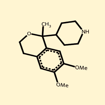 COc1cc2c(cc1OC)C(C)(C1CCNCC1)OCC2